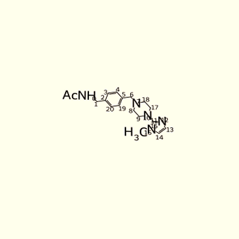 CC(=O)NCc1ccc(CN2CCN(c3nccn3C)CC2)cc1